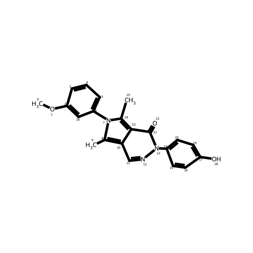 COc1cccc(-n2c(C)c3cnn(-c4ccc(O)cc4)c(=O)c3c2C)c1